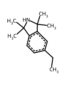 CCc1ccc2c(c1)C(C)(C)NC2(C)C